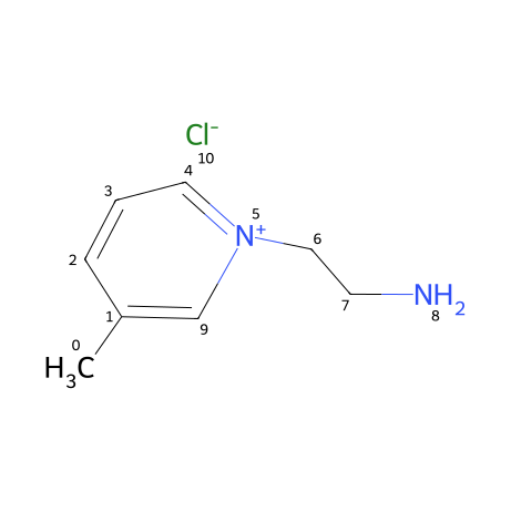 Cc1ccc[n+](CCN)c1.[Cl-]